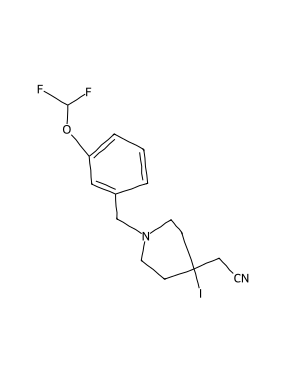 N#CCC1(I)CCN(Cc2cccc(OC(F)F)c2)CC1